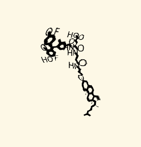 Cc1cc(C(=O)N[C@@H](CCC(=O)O)C(=O)NCCC(=O)NCCCO[C@H]2CC[C@@]3(C)C(=CCC4C3CC[C@@]3(C)C4CC[C@@H]3[C@H](C)CCCC(C)C)C2)ccc1-c1c2cc(F)c(=O)cc-2oc2cc(O)c(F)cc12